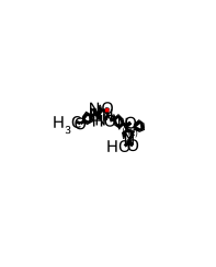 COc1ccc(-n2ncc3c(=O)n(CC4(O)CCN(C(=O)[C@@H]5CCN(C(=O)O)C[C@H]5c5ccccc5)CC4)cnc32)cc1